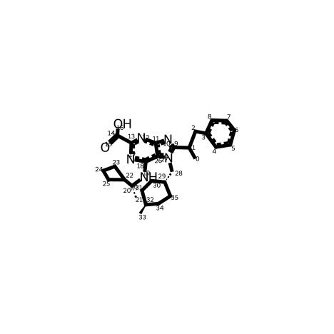 CC(Cc1ccccc1)c1nc2nc(C(=O)O)nc(N[C@H](C)C3CCC3)c2n1C[C@H]1CC[C@H](C)CC1